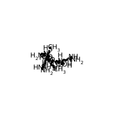 CSCCC(NC(=O)CN)C(=O)NC(CCCNC(=N)N)C(=O)NC(CCSC)C(=O)NCC(=O)NC(CCCNC(=N)N)C(=O)O